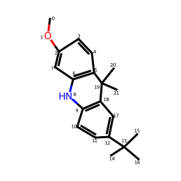 COc1ccc2c(c1)Nc1ccc(C(C)(C)C)cc1C2(C)C